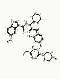 CCC(=O)N[C@H](Cc1ccc(NC(=O)[C@@H](NC(=O)c2coc3ccc(OC)cc23)C2CCCCC2)c(F)c1)C(=O)N1CCN(C)CC1